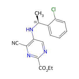 CCOC(=O)c1ncc(N[C@@H](C)c2ccccc2Cl)c(C#N)n1